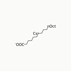 CCCCCCCCCCCCCCCCCC(=O)[O-].[Cs+]